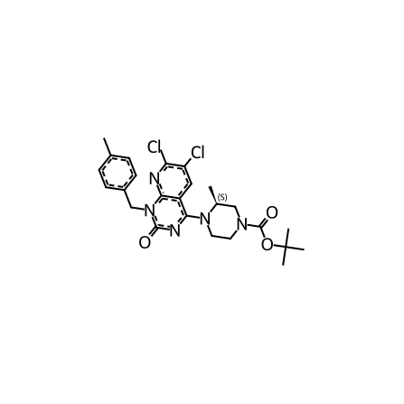 Cc1ccc(Cn2c(=O)nc(N3CCN(C(=O)OC(C)(C)C)C[C@@H]3C)c3cc(Cl)c(Cl)nc32)cc1